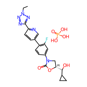 CCn1nnc(-c2ccc(-c3ccc(N4C[C@H](C(O)C5CC5)OC4=O)cc3F)cn2)n1.O=P(O)(O)O